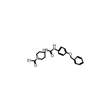 CCC(=O)N1CCC(NC(=O)Nc2ccc(OCc3ccccc3)cc2)CC1